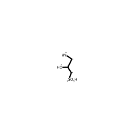 CC(C)CC(O)CS(=O)(=O)O